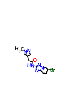 Cn1cc(CC(=O)Nc2nc3ccc(Br)cn3n2)cn1